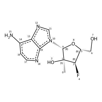 C[C@@]1(O)[C@H](F)[C@@H](CO)O[C@H]1n1cnc2c(N)ccnc21